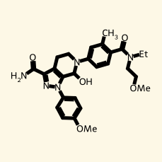 CCN(CCOC)C(=O)c1ccc(N2CCc3c(C(N)=O)nn(-c4ccc(OC)cc4)c3C2O)cc1C